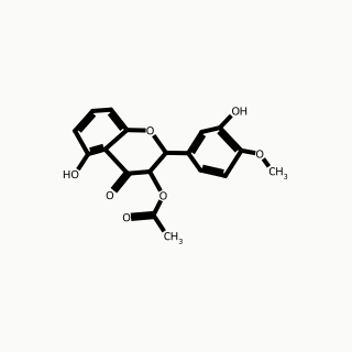 COc1ccc(C2Oc3cccc(O)c3C(=O)C2OC(C)=O)cc1O